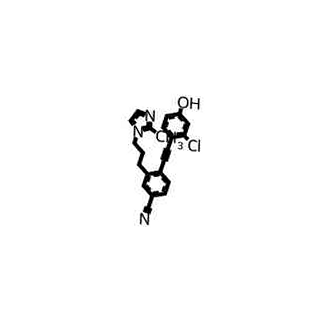 Cc1nccn1CCCc1cc(C#N)ccc1C#Cc1ccc(O)cc1Cl